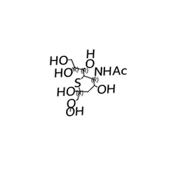 CC(=O)N[C@@H]1C(O)C[C@](O)(COO)SC1[C@H](O)[C@H](O)CO